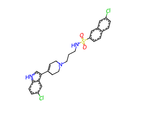 O=S(=O)(NCCCN1CC=C(c2c[nH]c3ccc(Cl)cc23)CC1)c1ccc2ccc(Cl)cc2c1